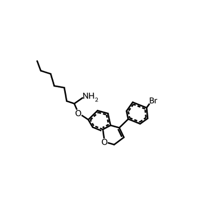 CCCCCCC(N)Oc1ccc2c(c1)OCC=C2c1ccc(Br)cc1